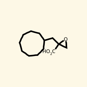 O=C(O)C1(CC2CCCCCCCC2)CO1